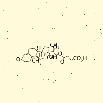 C[C@H]1C[C@H]2[C@@H]3CCC4=CC(=O)CC[C@]4(C)C3=CC[C@]2(C)[C@@]1(O)C(=O)COC(=O)CCC(=O)O